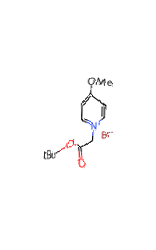 COc1cc[n+](CC(=O)OC(C)(C)C)cc1.[Br-]